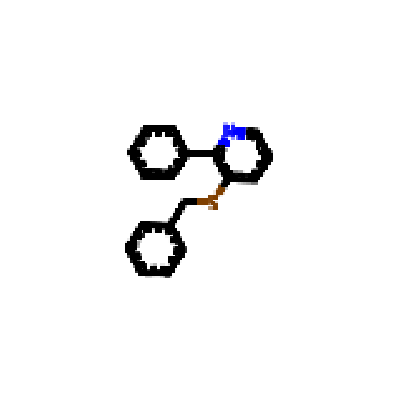 c1ccc(CSc2cccnc2-c2ccccc2)cc1